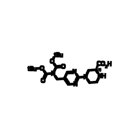 CC(C)(C)OC(=O)N(Cc1cnc(N2CCN[C@@H](C(=O)O)C2)nc1)C(=O)OC(C)(C)C